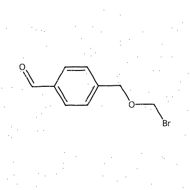 O=Cc1ccc(COCBr)cc1